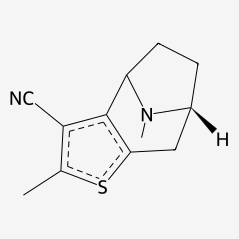 Cc1sc2c(c1C#N)C1CC[C@H](C2)N1C